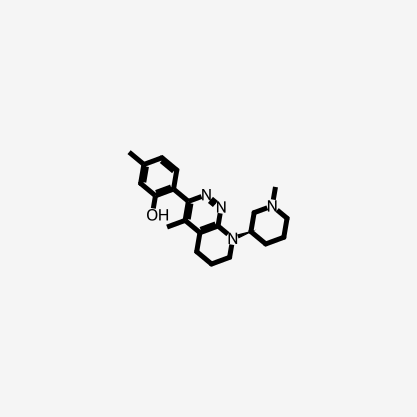 Cc1ccc(-c2nnc3c(c2C)CCCN3[C@@H]2CCCN(C)C2)c(O)c1